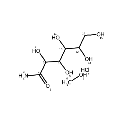 CO.Cl.NC(=O)C(O)C(O)C(O)C(O)CO